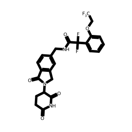 O=C1CCC(N2Cc3cc(CNC(=O)C(F)(F)c4ccccc4OCC(F)(F)F)ccc3C2=O)C(=O)N1